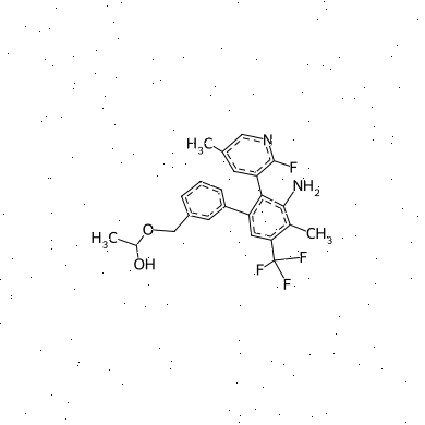 Cc1cnc(F)c(-c2c(-c3cccc(COC(C)O)c3)cc(C(F)(F)F)c(C)c2N)c1